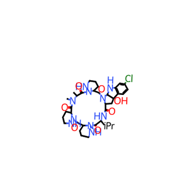 CC(C)C1NC(=O)C2CC3(O)c4ccc(Cl)cc4NC3N2C(=O)C2CCCNN2C(=O)C(C)N(C)C(=O)C2CCCNN2C(=O)C2CCCNN2C1=O